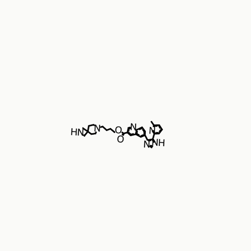 Cc1cccc(-c2[nH]cnc2-c2ccc3ncc(C(=O)OCCCCN4CCC5(CC4)CNC5)cc3c2)n1